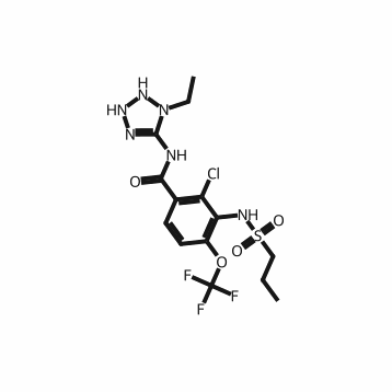 CCCS(=O)(=O)Nc1c(OC(F)(F)F)ccc(C(=O)NC2=NNNN2CC)c1Cl